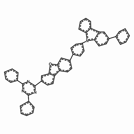 c1ccc(-c2ccc3c(c2)c2ccccc2n3-c2ccc(-c3ccc4c(c3)oc3cc(-c5nc(-c6ccccc6)nc(-c6ccccc6)n5)ccc34)cc2)cc1